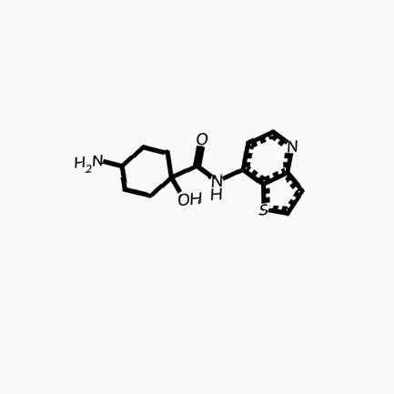 NC1CCC(O)(C(=O)Nc2ccnc3ccsc23)CC1